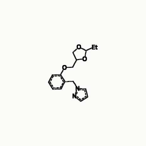 CCC1OCC(COc2ccccc2Cn2cccn2)O1